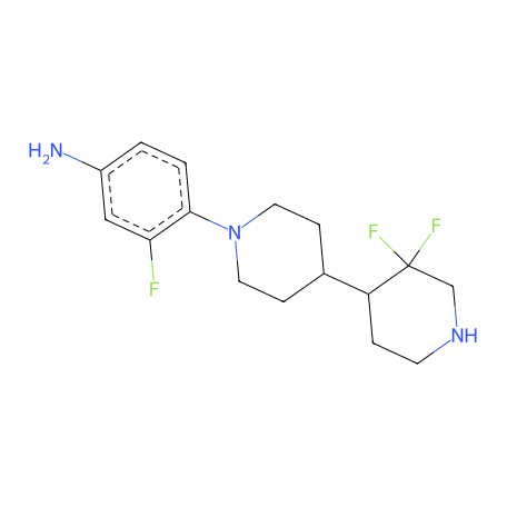 Nc1ccc(N2CCC(C3CCNCC3(F)F)CC2)c(F)c1